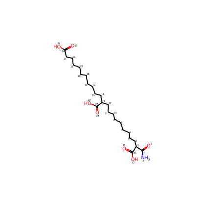 NC(=O)C(CCCCCCCCCC(CCCCCCCCCCC(=O)O)C(=O)O)C(=O)O